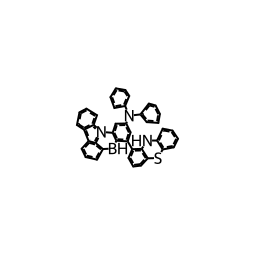 B1c2c(-c3cccc4c3Nc3ccccc3S4)cc(N(c3ccccc3)c3ccccc3)cc2-n2c3ccccc3c3cccc1c32